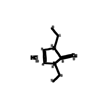 CCn1ccn(CC)[c]1=[Cu].Cl